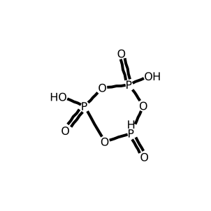 O=[PH]1OP(=O)(O)OP(=O)(O)O1